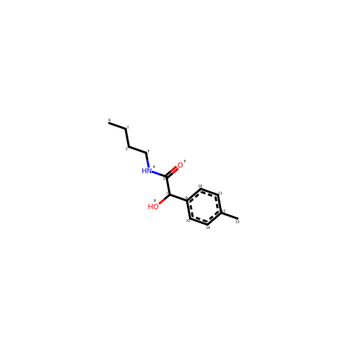 CCCCNC(=O)C(O)c1ccc(C)cc1